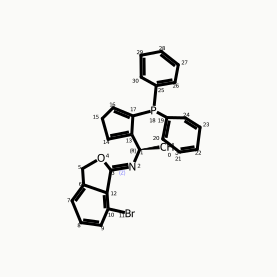 C[C@@H](/N=C1\OCc2cccc(Br)c21)C1=CCC=C1P(c1ccccc1)c1ccccc1